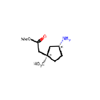 COC(=O)C[C@]1(C(=O)O)CC[C@@H](N)C1